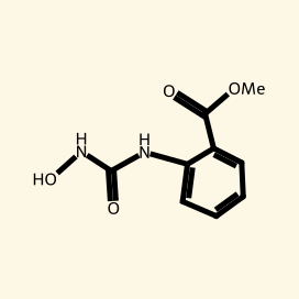 COC(=O)c1ccccc1NC(=O)NO